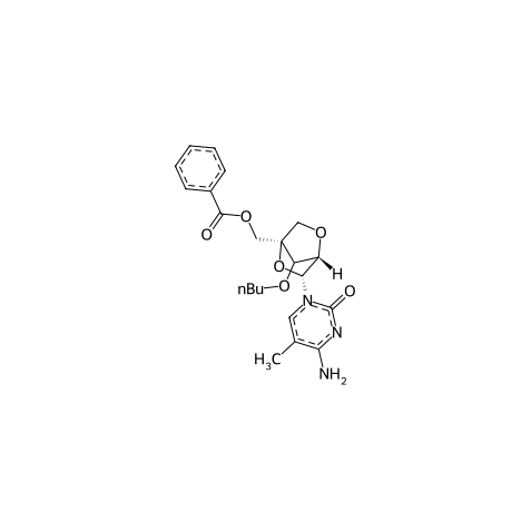 CCCCOC1[C@@H]2OC[C@]1(COC(=O)c1ccccc1)O[C@H]2n1cc(C)c(N)nc1=O